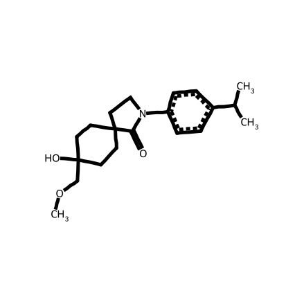 COCC1(O)CCC2(CCN(c3ccc(C(C)C)cc3)C2=O)CC1